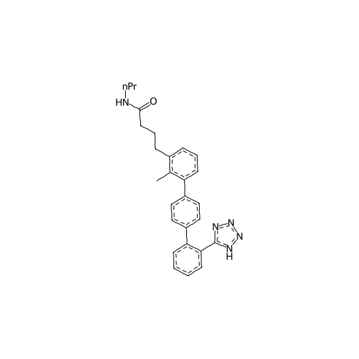 CCCNC(=O)CCCc1cccc(-c2ccc(-c3ccccc3-c3nnn[nH]3)cc2)c1C